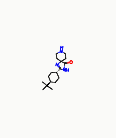 CC(C)(C)[C@H]1CC[C@H](C2=NC3(CCNCC3)C(=O)N2)CC1